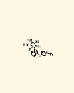 CC(C)Oc1ccc(Sc2cn([C@@H]3O[C@H](CO)[C@@H](O)[C@H](O)[C@H]3O)c3c(F)cccc23)cc1